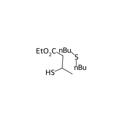 CCCCSCCCC.CCOC(=O)CC(C)S